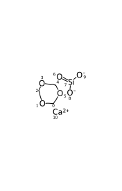 C1OCOCO1.O=[Si]([O-])[O-].[Ca+2]